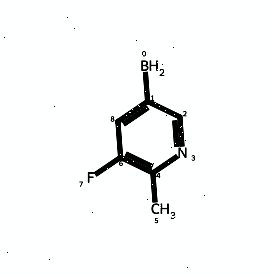 Bc1cnc(C)c(F)c1